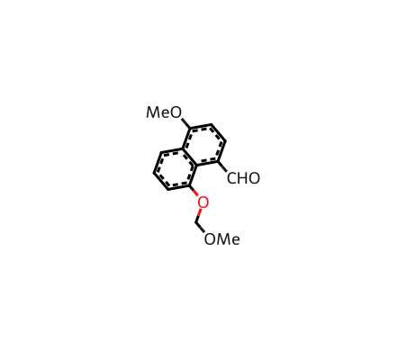 COCOc1cccc2c(OC)ccc(C=O)c12